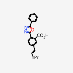 CCCC=Cc1ccc(-c2nnc(-c3ccccc3)o2)c(C(=O)O)c1